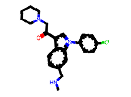 CNCc1ccc2c(C(=O)CN3CCCCC3)cn(-c3ccc(Cl)cc3)c2c1